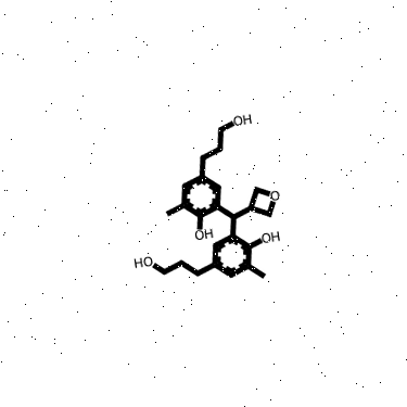 Cc1cc(CCCO)cc(C(c2cc(CCCO)cc(C)c2O)C2COC2)c1O